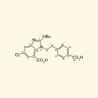 CCCCc1nc2cc(Cl)cc(C(=O)O)c2n1CCc1ccc(C(=O)O)cc1